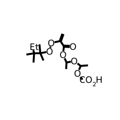 C=C(OOC(C)(C)C(C)(C)CC)C(=O)OC(C)OC(C)OC(=O)O